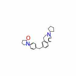 O=C1CCCN1c1ccc(Cc2ccc3c(c2)CCN(C2CCCC2)CC3)cc1